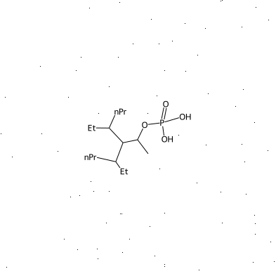 CCCC(CC)C(C(CC)CCC)C(C)OP(=O)(O)O